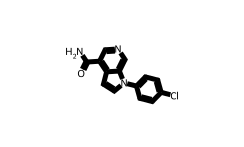 NC(=O)c1cncc2c1ccn2-c1ccc(Cl)cc1